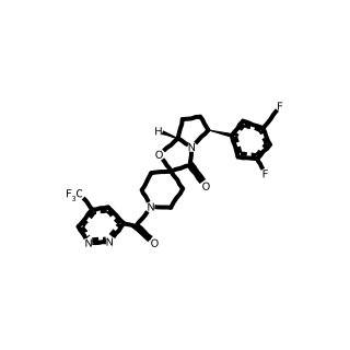 O=C(c1cc(C(F)(F)F)cnn1)N1CCC2(CC1)O[C@@H]1CC[C@@H](c3cc(F)cc(F)c3)N1C2=O